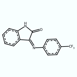 O=C1Nc2ccccc2/C1=N/c1ccc(C(F)(F)F)cc1